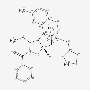 CCC1C2[C@@H](CN1C(=O)c1ccccc1)CC1(C)C3Cc4ccc(C)cc4C21CCN3CC1CCNC1